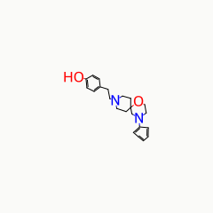 Oc1ccc(CCN2CCC3(CC2)CN(c2ccccc2)CCO3)cc1